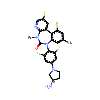 CC(C)N1C(=O)N(c2c(F)cc(N3CC[C@@H](N)C3)cc2F)c2cc(C#N)cc(F)c2-c2cc(F)cnc21